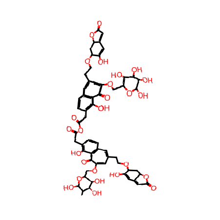 CC1C(O)OC(COc2cc(CCOC3CC4OC(=O)C=C4C=C3O)cc3ccc(CC(=O)OC(=O)Cc4ccc5cc(CCOC6CC7OC(=O)C=C7C=C6O)cc(OCC6OC(O)C(O)C(O)C6O)c(=O)c5c4O)c(O)c3c2=O)C(O)C1O